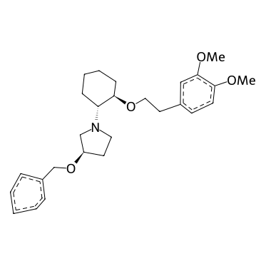 COc1ccc(CCO[C@@H]2CCCC[C@H]2N2CC[C@@H](OCc3ccccc3)C2)cc1OC